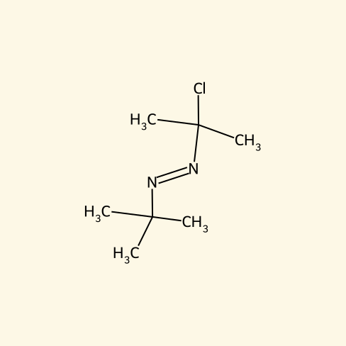 CC(C)(C)/N=N/C(C)(C)Cl